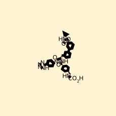 O=C(O)NC[C@H]1CC[C@H](C(=O)N[C@@H](Cc2cccc(-c3cccc(S(=O)(=O)NC4CC4)c3)c2)C(=O)Nc2ccc(-c3nnn[nH]3)cc2)CC1